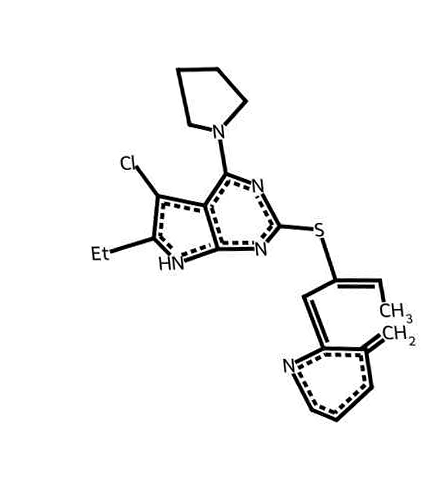 C=c1cccn/c1=C/C(=C\C)Sc1nc(N2CCCC2)c2c(Cl)c(CC)[nH]c2n1